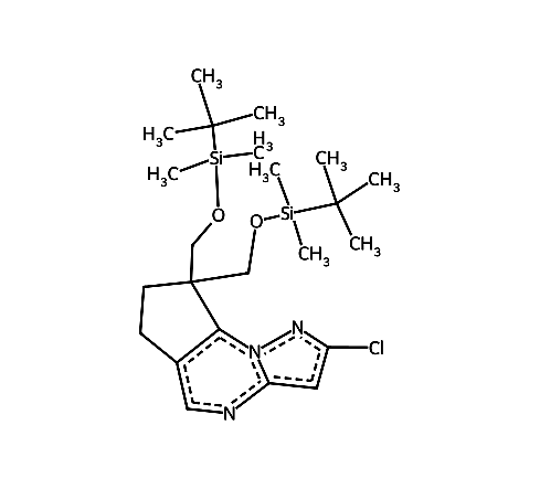 CC(C)(C)[Si](C)(C)OCC1(CO[Si](C)(C)C(C)(C)C)CCc2cnc3cc(Cl)nn3c21